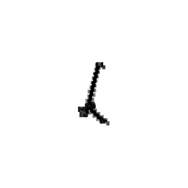 CCCCCCCCCCCCCCCCCC(=O)OC(C(=O)CCCCCCC)C(O)CO